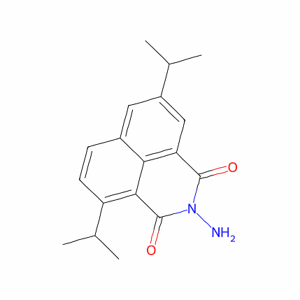 CC(C)c1cc2c3c(c(C(C)C)ccc3c1)C(=O)N(N)C2=O